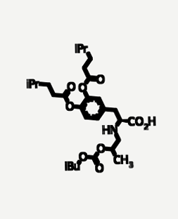 CCC(C)OC(=O)OC(C)CN[C@@H](Cc1ccc(OC(=O)CCC(C)C)c(OC(=O)CCC(C)C)c1)C(=O)O